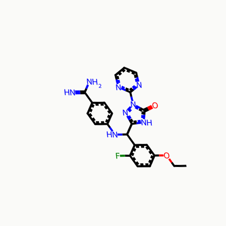 CCOc1ccc(F)c(C(Nc2ccc(C(=N)N)cc2)c2nn(-c3ncccn3)c(=O)[nH]2)c1